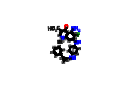 CCn1cc(C(=O)O)c(=O)c2c(N)c(F)c(N[C@H]3CC[C@@H](N[C@@H]4C[C@H]4c4ccccc4)CC3)cc21